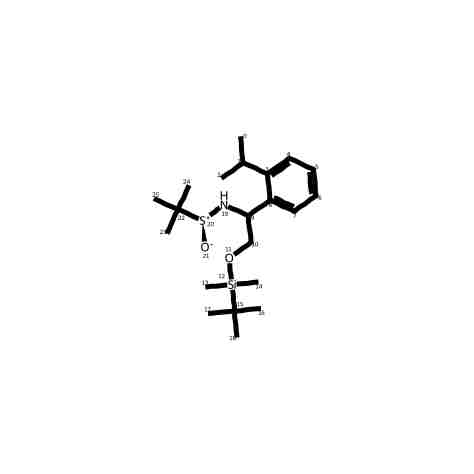 CC(C)c1ccccc1C(CO[Si](C)(C)C(C)(C)C)N[S@@+]([O-])C(C)(C)C